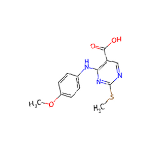 COc1ccc(Nc2nc(SC)ncc2C(=O)O)cc1